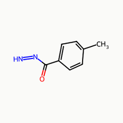 Cc1ccc(C(=O)N=N)cc1